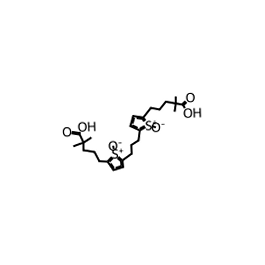 CC(C)(CCCc1ccc(CCCc2ccc(CCCC(C)(C)C(=O)O)[s+]2[O-])[s+]1[O-])C(=O)O